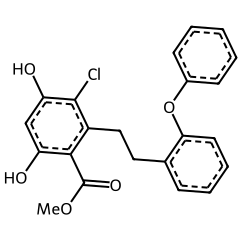 COC(=O)c1c(O)cc(O)c(Cl)c1CCc1ccccc1Oc1ccccc1